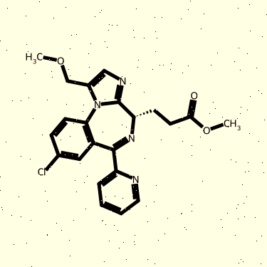 COCc1cnc2n1-c1ccc(Cl)cc1C(c1ccccn1)=N[C@H]2CCC(=O)OC